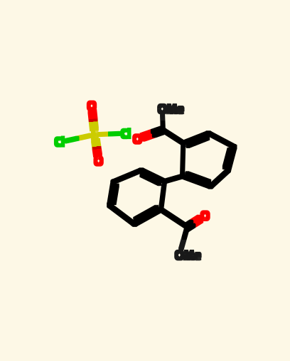 COC(=O)c1ccccc1-c1ccccc1C(=O)OC.O=S(=O)(Cl)Cl